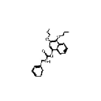 CCCOc1cc(OC(=O)NCc2ccccc2)c2ccccc2c1OCCC